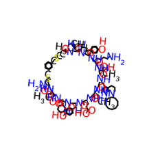 CCC[C@@H]1NC(=O)[C@H](Cc2c[nH]c3c2CCCN3C2CCCCCCCCC2)NC(=O)[C@H]([C@@H](C)O)NC(=O)[C@H](CCCCN)NC(=O)[C@H](Cc2ccc(O)cc2)NC(=O)[C@H](C(C)(C)C)NC(=O)CCSCc2cccc(c2)CSC[C@@H](C(N)=O)NC(=O)[C@H]([C@@H](C)O)NC(=O)[C@H](C2CCCCC2)NC(=O)[C@H](Cc2ccc(O)cc2)NC(=O)[C@H](CCC(=O)O)NC1=O